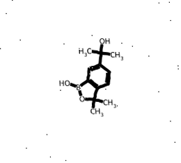 CC(C)(O)c1ccc2c(c1)B(O)OC2(C)C